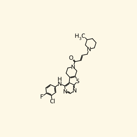 CC1CCCN(CC=CC(=O)N2CCc3c(sc4ncnc(Nc5ccc(F)c(Cl)c5)c34)C2)C1